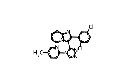 Cc1ccc(-n2cnnc2-c2c(-c3cc(Cl)ccc3Cl)nc3ccccn23)nc1